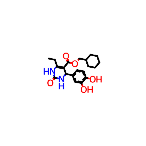 CCC1=C(C(=O)OCC2CCCCC2)C(c2ccc(O)c(O)c2)NC(=O)N1